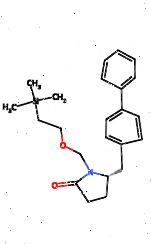 C[Si](C)(C)CCOCN1C(=O)CC[C@H]1Cc1ccc(-c2ccccc2)cc1